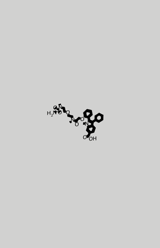 CN(CCOCCN(C)S(N)(=O)=O)C(=O)COc1ccccc1-c1c(C2CCCCC2)c2ccc(C(=O)O)cc2n1C